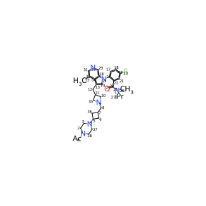 CC(=O)N1CCN(C2CC(CN3CC(Cc4cn(-c5ccc(F)cc5C(=O)N(C)C(C)C)c5cncc(C)c45)C3)C2)CC1